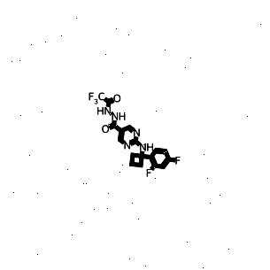 O=C(NNC(=O)C(F)(F)F)c1cnc(NC2(c3ccc(F)cc3F)CCC2)nc1